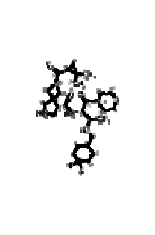 C[C@@H](OCC1CCC(F)(F)CC1)[C@H](NC(=O)[C@@H]1CNCC12CN(C(=O)[C@H]1CC1(C)C)C2)C(=O)N1CCOCC1